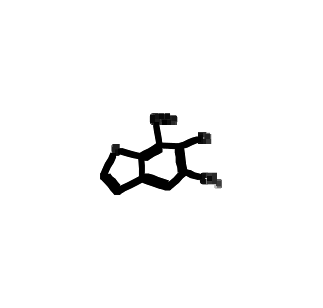 CCc1c(C)cc2ccsc2c1OC